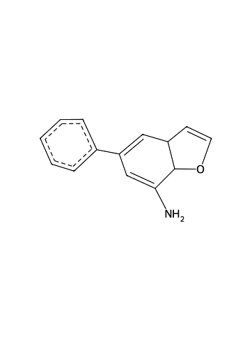 NC1=CC(c2ccccc2)=CC2C=COC12